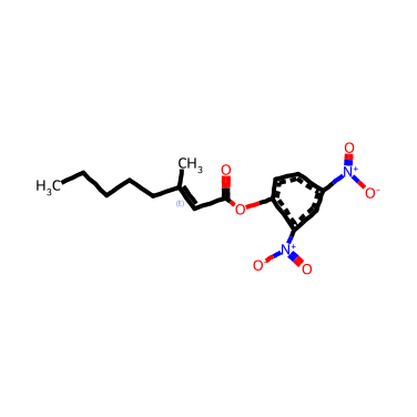 CCCCC/C(C)=C/C(=O)Oc1ccc([N+](=O)[O-])cc1[N+](=O)[O-]